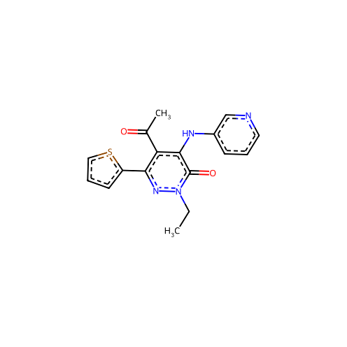 CCn1nc(-c2cccs2)c(C(C)=O)c(Nc2cccnc2)c1=O